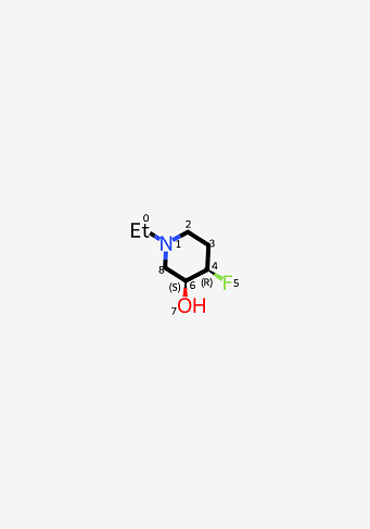 CCN1CC[C@@H](F)[C@@H](O)C1